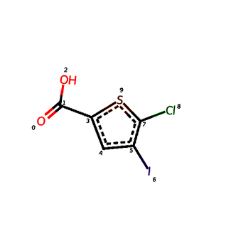 O=C(O)c1cc(I)c(Cl)s1